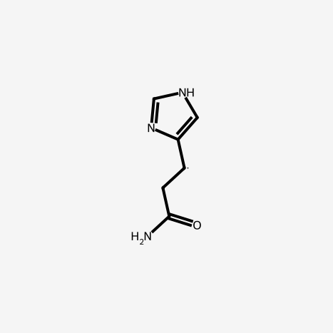 NC(=O)C[CH]c1c[nH]cn1